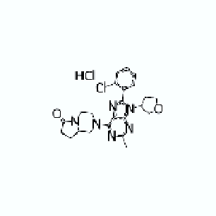 Cc1nc(N2CCN3C(=O)CCC3C2)c2nc(-c3ccccc3Cl)n(C3CCOC3)c2n1.Cl